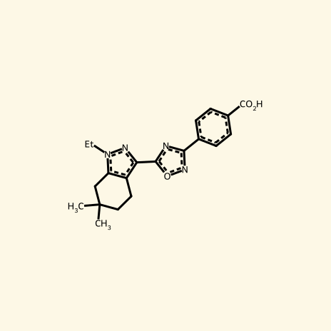 CCn1nc(-c2nc(-c3ccc(C(=O)O)cc3)no2)c2c1CC(C)(C)CC2